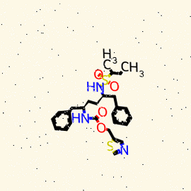 CCC(C)S(=O)(=O)N[C@H](CC[C@H](Cc1ccccc1)NC(=O)OCc1cncs1)Cc1ccccc1